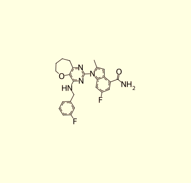 Cc1cc2c(C(N)=O)cc(F)cc2n1-c1nc2c(c(NCc3cccc(F)c3)n1)OCCCC2